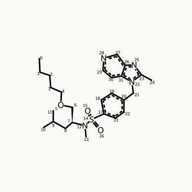 CCCCCOC[C@H](CC(C)C)N(C)S(=O)(=O)c1ccc(Cn2c(C)nc3cnccc32)cc1